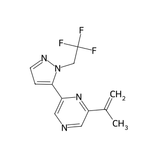 C=C(C)c1cncc(-c2ccnn2CC(F)(F)F)n1